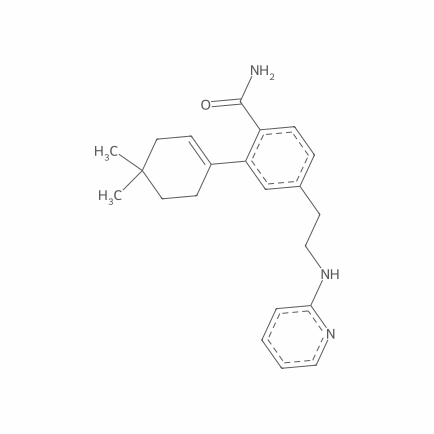 CC1(C)CC=C(c2cc(CCNc3ccccn3)ccc2C(N)=O)CC1